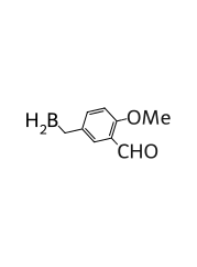 BCc1ccc(OC)c(C=O)c1